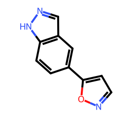 c1cc(-c2ccc3[nH]ncc3c2)on1